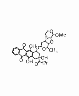 COC1OCCN2C3CC(OC4CC(O)(C(=O)C(C)C)Cc5c(O)c6c(c(O)c54)C(=O)c4ccccc4C6=O)OC(C)C3OC12